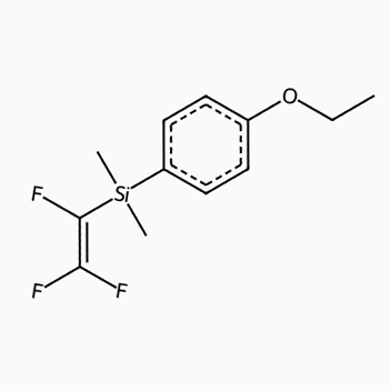 CCOc1ccc([Si](C)(C)C(F)=C(F)F)cc1